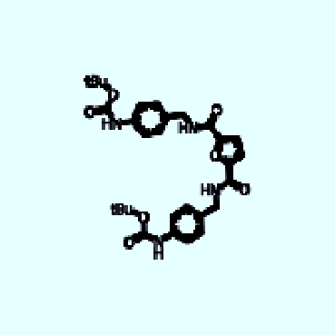 CC(C)(C)OC(=O)Nc1ccc(CNC(=O)c2ccc(C(=O)NCc3ccc(NC(=O)OC(C)(C)C)cc3)o2)cc1